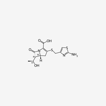 C[C@H](O)[C@@H]1C(=O)N2C(C(=O)O)=C(SCc3csc(N)n3)C[C@H]12